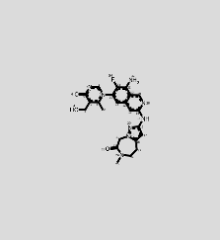 Cc1c(CO)c(=O)ncn1-c1cc2cc(Nc3cc4n(n3)CC(=O)N(C)CC4)ncc2c(N)c1F